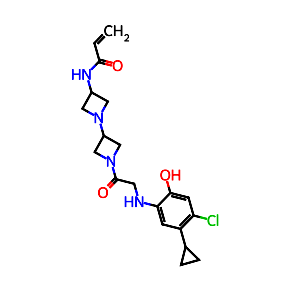 C=CC(=O)NC1CN(C2CN(C(=O)CNc3cc(C4CC4)c(Cl)cc3O)C2)C1